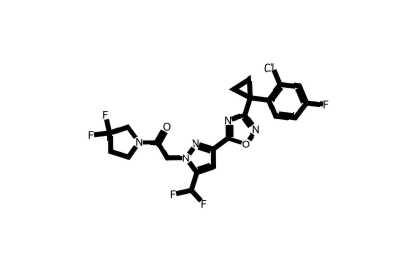 O=C(Cn1nc(-c2nc(C3(c4ccc(F)cc4Cl)CC3)no2)cc1C(F)F)N1CCC(F)(F)C1